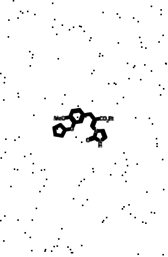 CCOC(=O)C(=Cn1cc[nH]c1=O)Cc1ccc(OC)c(OC2CCCC2)c1